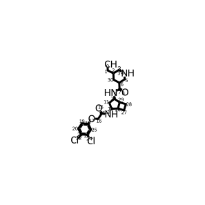 CCC1CNCC(C(=O)NC2C[C@H](NC(=O)COc3ccc(Cl)c(Cl)c3)C3CCC23)C1